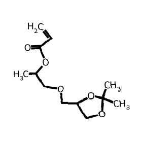 C=CC(=O)OC(C)COCC1COC(C)(C)O1